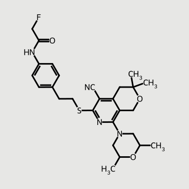 CC1CN(c2nc(SCCc3ccc(NC(=O)CF)cc3)c(C#N)c3c2COC(C)(C)C3)CC(C)O1